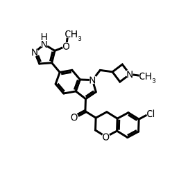 COc1[nH]ncc1-c1ccc2c(C(=O)C3COc4ccc(Cl)cc4C3)cn(CC3CN(C)C3)c2c1